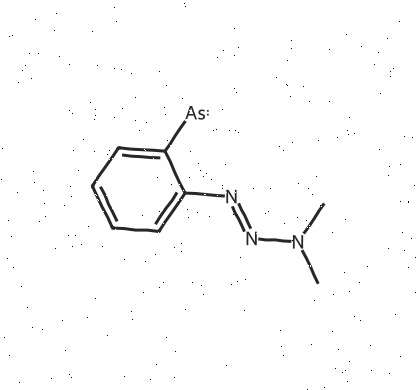 CN(C)N=Nc1ccccc1[As]